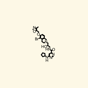 Cc1ncoc1COc1ccc2c(c1Br)CCN(CC(O)CNC(=O)c1cc(NC3CCCC3)ncn1)C2